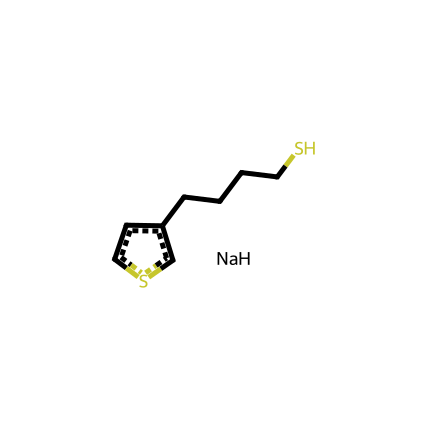 SCCCCc1ccsc1.[NaH]